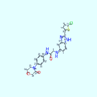 O=C(CNc1ccc2[nH]c(-c3ccc(Cl)s3)nc2c1)Nc1ccc(N2CCOCC2=O)cc1